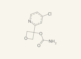 NC(=O)OC1(c2cc(Cl)ccn2)COC1